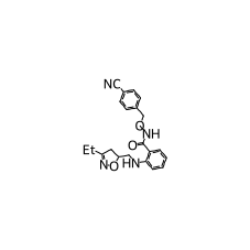 CCC1=NOC(CNc2ccccc2C(=O)NOCc2ccc(C#N)cc2)C1